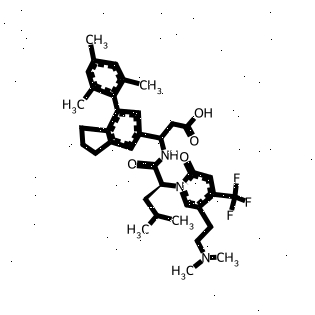 Cc1cc(C)c(-c2cc(C(CC(=O)O)NC(=O)[C@H](CC(C)C)n3cc(CCN(C)C)c(C(F)(F)F)cc3=O)cc3c2CCC3)c(C)c1